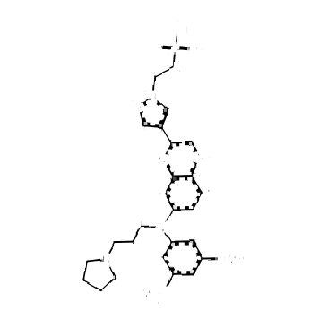 COc1cc(OC)cc(N(CCCN2CCCC2)c2ccc3ncc(-c4cnn(CCS(C)(=O)=O)c4)nc3c2)c1